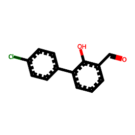 O=Cc1cccc(-c2ccc(Cl)cc2)c1O